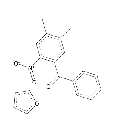 Cc1cc(C(=O)c2ccccc2)c([N+](=O)[O-])cc1C.c1ccoc1